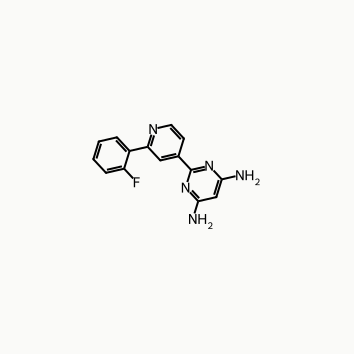 Nc1cc(N)nc(-c2ccnc(-c3ccccc3F)c2)n1